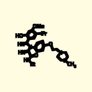 CCNC(=O)C(=N)N(C(=N)c1cc(C(C)C)c(OC)cc1O)c1ccc(OCCN2CCN(C)CC2)cc1